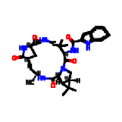 CC1(C)CNC(=O)[C@@H]2C[C@H](C[C@@H](C#N)NC(=O)[C@@H]3C4[C@H](CN3C(=O)[C@H]1NC(=O)c1cc3ccccc3[nH]1)C4(C)C)C(=O)N2